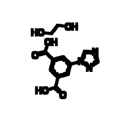 O=C(O)c1cc(C(=O)O)cc(-n2cncn2)c1.OCCO